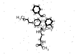 COCCN1C[C@H](C(=O)c2ccccc2)[C@H](c2cccc(F)c2C)[C@H](C(=O)NCCNC(C)=O)C1